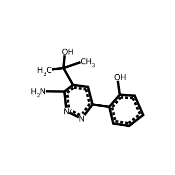 CC(C)(O)c1cc(-c2ccccc2O)nnc1N